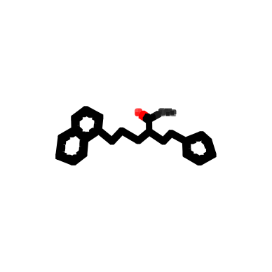 COC(=O)C(CCCc1cccc2ccccc12)CCc1ccccc1